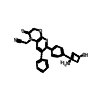 N#CCN1C(=O)COc2nc(-c3ccc([C@]4(N)C[C@@H](O)C4)cc3)c(-c3ccccc3)cc21